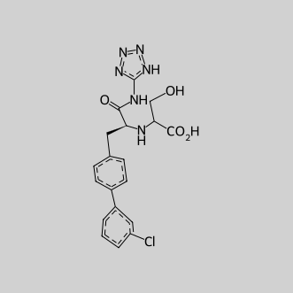 O=C(O)C(CO)N[C@@H](Cc1ccc(-c2cccc(Cl)c2)cc1)C(=O)Nc1nnn[nH]1